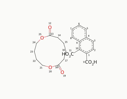 O=C(O)c1ccc2ccccc2c1C(=O)O.O=C1CCCCC(=O)OCCCCO1